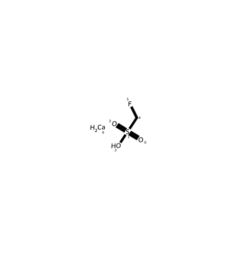 O=S(=O)(O)CF.[CaH2]